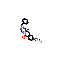 Cc1ccc2c(c1)C[C@@H]1CN(Cc3ccccc3)CCN1C2=O